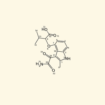 Cc1[nH]c2cccc(OC(C(=O)O)C(C)C)c2c1C(=O)C(N)=O